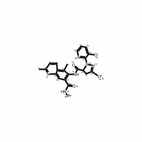 Cc1ccc2c(C)c(NC(=O)C3CC(C(F)(F)F)=NN3c3ncccc3Cl)c(C(=O)NC(C)C)cc2n1